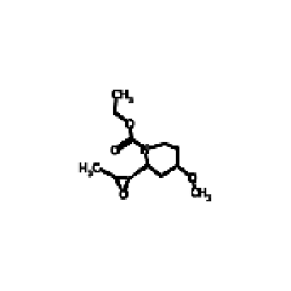 CCOC(=O)N1CCC(OC)CC1[C@H]1OC1C